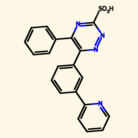 O=S(=O)(O)c1nnc(-c2cccc(-c3ccccn3)c2)c(-c2ccccc2)n1